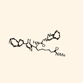 CNC(=O)CCCCCC(NC(=O)Cn1cc2ccccc2n1)c1ncc(-c2ccc3ccncc3c2)[nH]1